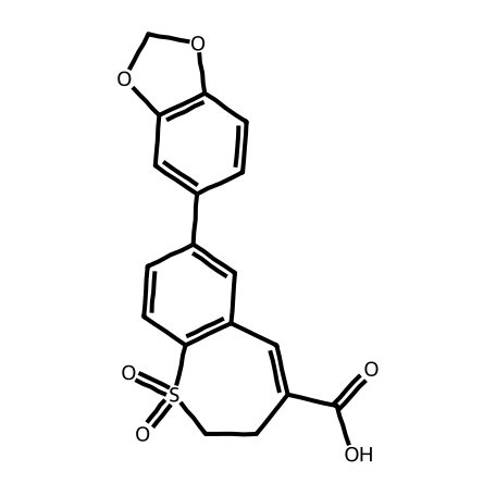 O=C(O)C1=Cc2cc(-c3ccc4c(c3)OCO4)ccc2S(=O)(=O)CC1